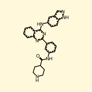 O=C(Nc1cccc(-c2nc(Nc3ccc4[nH]ncc4c3)c3ccccc3n2)c1)C1CCNCC1